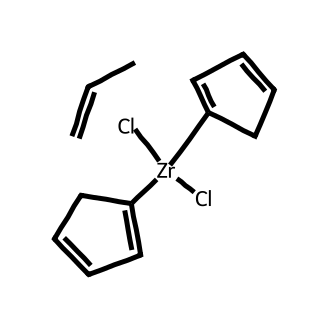 C=CC.[Cl][Zr]([Cl])([C]1=CC=CC1)[C]1=CC=CC1